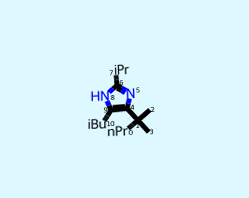 CCCC(C)(C)c1nc(C(C)C)[nH]c1C(C)CC